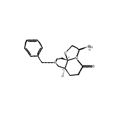 CC[C@H](C)C1CO[C@@]23CCN(Cc4ccccc4)C[C@@H]2CCC(=O)N13